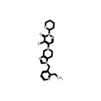 CCc1ncccc1Cn1cnc2c1CCN(c1cnn(C3CCCCO3)c(=O)c1Cl)C2